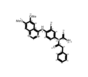 COc1cc2ncnc(Nc3ccc(N(C(=O)Cc4ccccc4)C(N)=S)cc3F)c2cc1OC